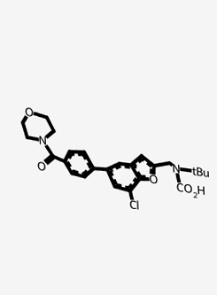 CC(C)(C)N(Cc1cc2cc(-c3ccc(C(=O)N4CCOCC4)cc3)cc(Cl)c2o1)C(=O)O